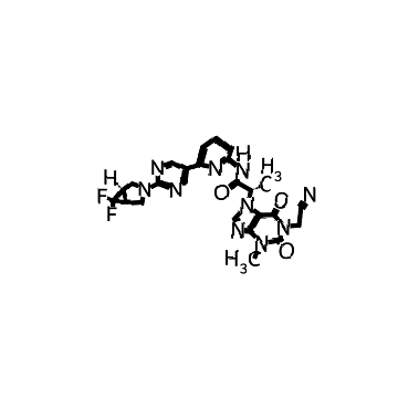 C[C@@H](C(=O)Nc1cccc(-c2cnc(N3CC4[C@H](C3)C4(F)F)nc2)n1)n1cnc2c1c(=O)n(CC#N)c(=O)n2C